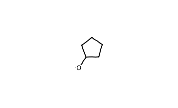 [O]C1CCCC1